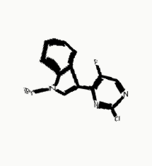 CC(C)n1cc(-c2nc(Cl)ncc2F)c2ccccc21